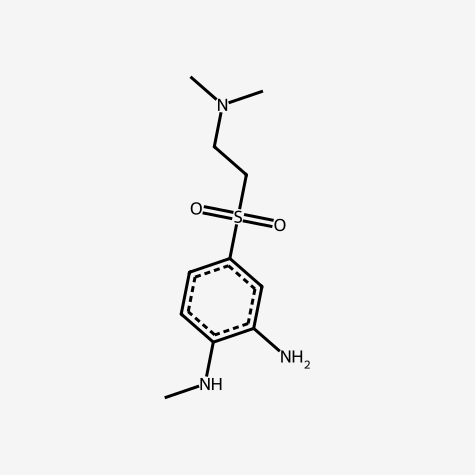 CNc1ccc(S(=O)(=O)CCN(C)C)cc1N